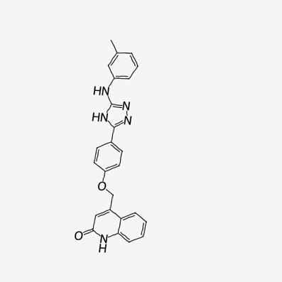 Cc1cccc(Nc2nnc(-c3ccc(OCc4cc(=O)[nH]c5ccccc45)cc3)[nH]2)c1